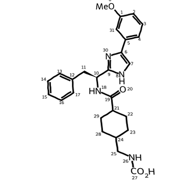 COc1cccc(-c2c[nH]c([C@H](Cc3ccccc3)NC(=O)C3CCC(CNC(=O)O)CC3)n2)c1